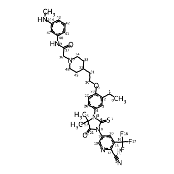 CCc1cc(N2C(=S)N(c3cnc(C#N)c(C(F)(F)F)c3)C(=O)C2(C)C)ccc1OCCC1CCN(CC(=O)Nc2cccc(NC)c2)CC1